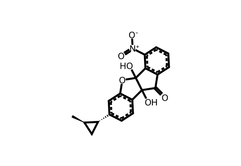 C[C@@H]1C[C@H]1c1ccc2c(c1)OC1(O)c3c(cccc3[N+](=O)[O-])C(=O)C21O